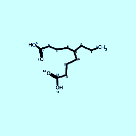 CCCC(CCCC(=O)O)CCCC(=O)O